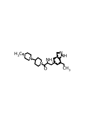 CCc1cc(CC(N)C(=O)N2CCC(N3CCN(C)CC3)CC2)cc2cn[nH]c12